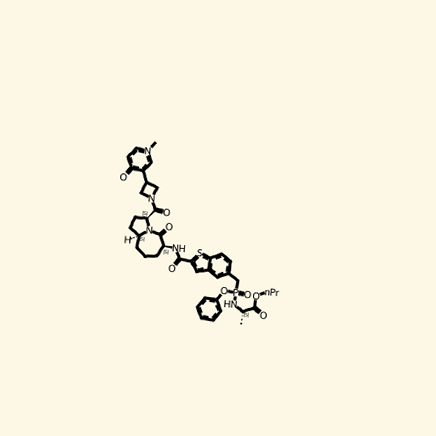 CCCOC(=O)[C@H](C)NP(=O)(Cc1ccc2sc(C(=O)N[C@H]3CCC[C@H]4CC[C@@H](C(=O)N5CC(c6cn(C)ccc6=O)C5)N4C3=O)cc2c1)Oc1ccccc1